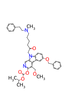 COCc1c(OC(=O)OC(C)C)ncc2c1c1cc(OCc3ccccc3)ccc1n2CC(=O)CCCCN(C)CCc1ccccc1